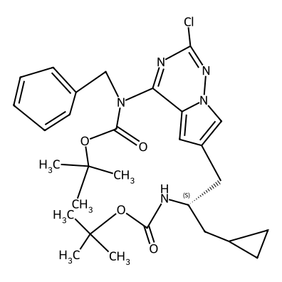 CC(C)(C)OC(=O)N[C@H](Cc1cc2c(N(Cc3ccccc3)C(=O)OC(C)(C)C)nc(Cl)nn2c1)CC1CC1